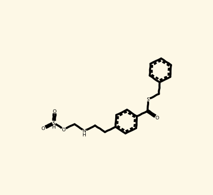 O=C(SCc1ccccc1)c1ccc(CCNCO[SH](=O)=O)cc1